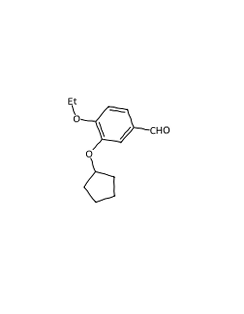 CCOc1ccc(C=O)cc1OC1CCCC1